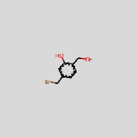 OCc1ccc(CBr)cc1O